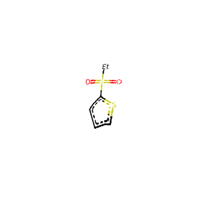 CCS(=O)(=O)c1cccs1